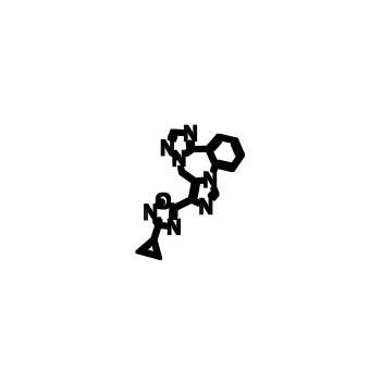 c1ccc2c(c1)-c1ncnn1Cc1c(-c3nc(C4CC4)no3)ncn1-2